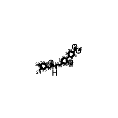 COC(=O)c1ccc(-c2ccc(CCNC(=O)Cc3ccc(C)c(C)c3)cc2OC)cc1